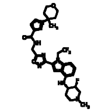 CN1CC[C@@H](Nc2cccc3c2cc(-c2noc(CNC(=O)c4ccn(C5(C)CCOCC5)c4)n2)n3CC(F)(F)F)[C@@H](F)C1